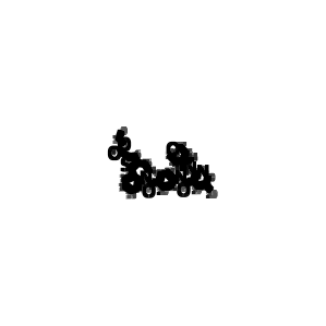 CCOC(=O)c1cc2c(s1)-c1ccccc1N(C(=O)c1ccc(NC(=O)c3cc(C)cnc3N3CC4(CCOCC4)C3)cc1)CC2